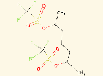 CC(CCCC(C)OS(=O)(=O)C(F)(F)F)OS(=O)(=O)C(F)(F)F